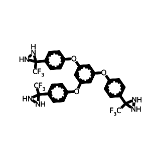 FC(F)(F)C1(c2ccc(Oc3cc(Oc4ccc(C5(C(F)(F)F)NN5)cc4)cc(Oc4ccc(C5(C(F)(F)F)NN5)cc4)c3)cc2)NN1